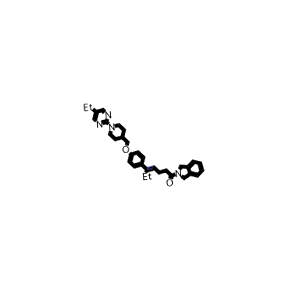 CC/C(=C\CCC(=O)N1Cc2ccccc2C1)c1ccc(OCC2CCN(c3ncc(CC)cn3)CC2)cc1